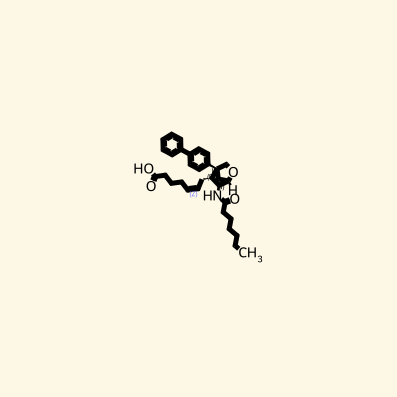 CCCCCCC(=O)N[C@@H]1[C@@H]2C[C@@](c3ccc(-c4ccccc4)cc3)(CO2)[C@H]1C/C=C\CCCC(=O)O